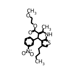 CCCCc1csc2c1C(c1cccc([N+](=O)[O-])c1)C(C(=O)OCCOC)=C(C)N2